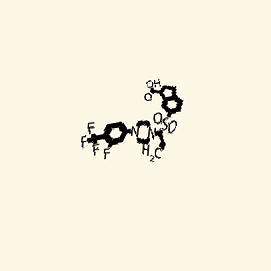 C=CC(N1CCN(c2ccc(C(F)(F)F)c(F)c2)CC1)S(=O)(=O)c1ccc2c(c1)C(C(=O)O)CC2